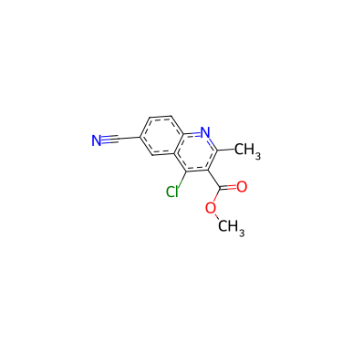 COC(=O)c1c(C)nc2ccc(C#N)cc2c1Cl